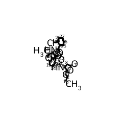 CCCO[C@@H]1OC(=O)C[C@@H]1NC(=O)[C@@H]1CCCN1C(=O)[C@@H](NC(=O)c1ccccc1Cl)C(C)C